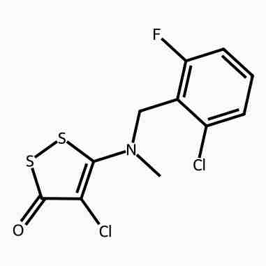 CN(Cc1c(F)cccc1Cl)c1ssc(=O)c1Cl